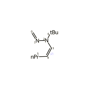 C=NN(/C=C\CCC)C(C)(C)C